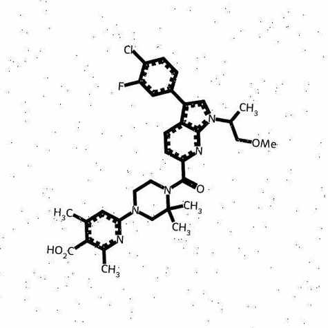 COCC(C)n1cc(-c2ccc(Cl)c(F)c2)c2ccc(C(=O)N3CCN(c4cc(C)c(C(=O)O)c(C)n4)CC3(C)C)nc21